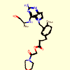 CCCC[C@@H](CO)Nc1nc(N)nc2ccn(Cc3cc(CCC(=O)OCC(=O)N4CCOCC4)ccc3OC)c12